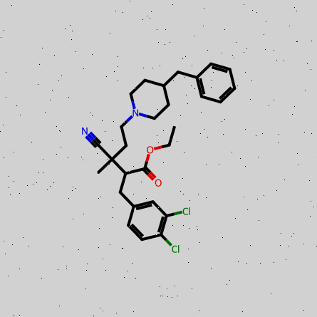 CCOC(=O)C(Cc1ccc(Cl)c(Cl)c1)C(C)(C#N)CCN1CCC(Cc2ccccc2)CC1